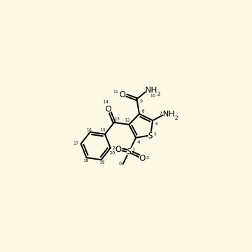 CS(=O)(=O)c1sc(N)c(C(N)=O)c1C(=O)c1ccccc1